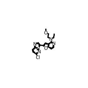 CCN(CCOC)c1nccc2oc(-c3cnc4ccc(Cl)nn34)cc12